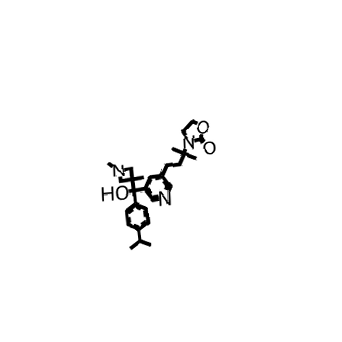 CC(C)c1ccc(C(O)(c2cncc(CCC(C)(C)N3CCOC3=O)c2)C2(C)CN(C)C2)cc1